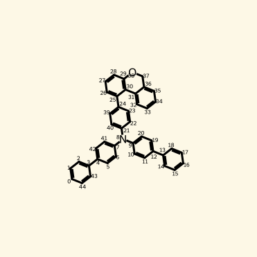 c1ccc(-c2ccc(N(c3ccc(-c4ccccc4)cc3)c3ccc(-c4cccc5c4-c4ccccc4CO5)cc3)cc2)cc1